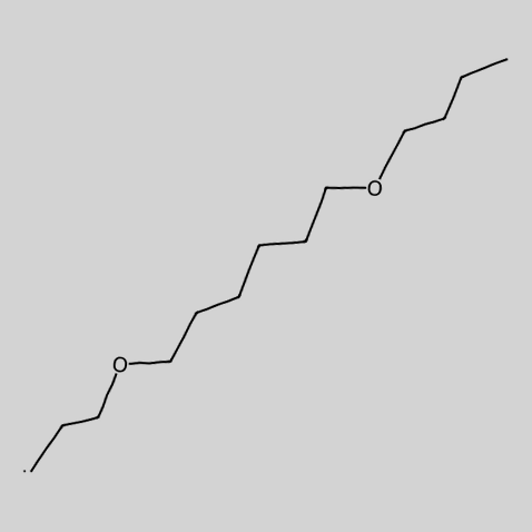 [CH2]CCOCCCCCCOCCCC